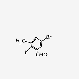 Cc1cc(Br)cc(C=O)c1I